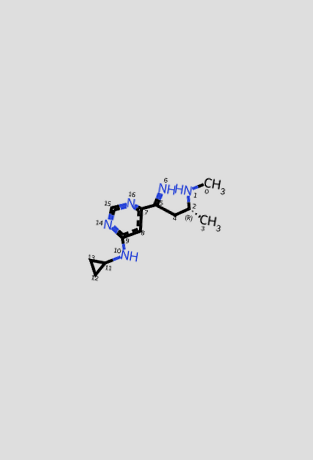 CN[C@H](C)CC(=N)c1cc(NC2CC2)ncn1